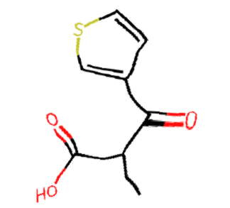 CC(C(=O)O)C(=O)c1ccsc1